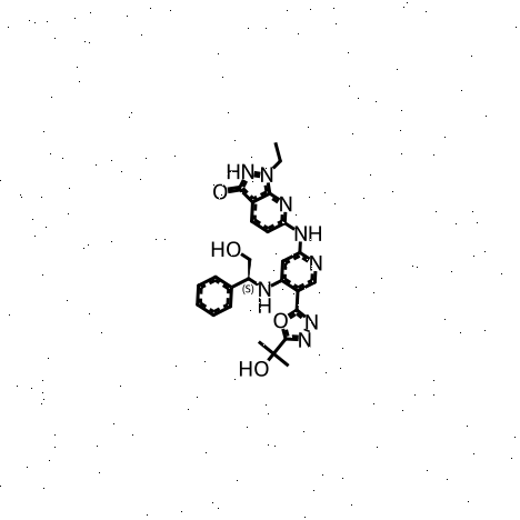 CCn1[nH]c(=O)c2ccc(Nc3cc(N[C@H](CO)c4ccccc4)c(-c4nnc(C(C)(C)O)o4)cn3)nc21